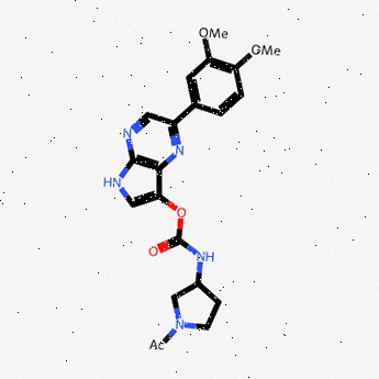 COc1ccc(-c2cnc3[nH]cc(OC(=O)NC4CCN(C(C)=O)C4)c3n2)cc1OC